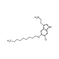 CCCCCCCCCOc1cc2c(CCN)c[nH]c2cc1Cl